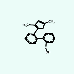 CC1=CC(C)=C(c2ccccc2-c2ccccc2CO)C1